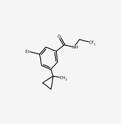 CCc1cc(C(=O)NCC(F)(F)F)cc(C2(C)CC2)c1